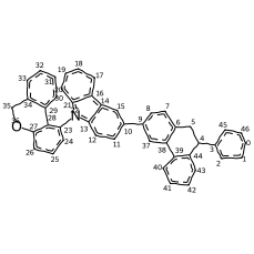 c1ccc(C2Cc3ccc(-c4ccc5c(c4)c4ccccc4n5-c4cccc5c4-c4ccccc4CO5)cc3-c3ccccc32)cc1